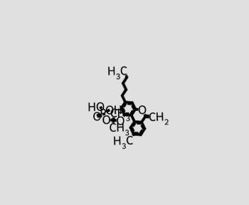 C=C1Oc2cc(CCCCC)cc(OC(C)(C)OP(=O)(O)O)c2-c2cc(C)ccc21